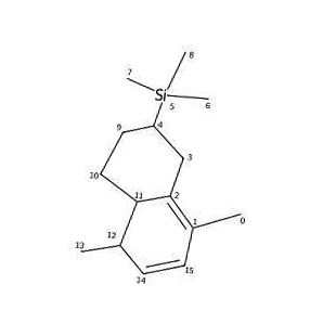 CC1=C2CC([Si](C)(C)C)CCC2C(C)C=C1